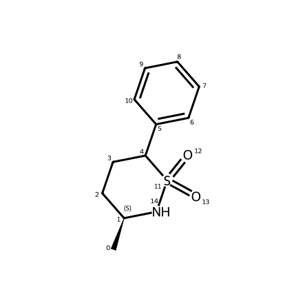 C[C@H]1CCC(c2ccccc2)S(=O)(=O)N1